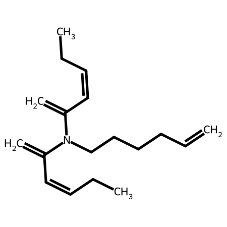 C=CCCCCN(C(=C)/C=C\CC)C(=C)/C=C\CC